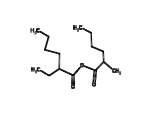 CCCCC(C)C(=O)OC(=O)C(CC)CCCC